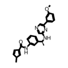 COc1cccc(-c2cncc(N[C@@H](C)c3cccc(NC(=O)C4=CC(C)C=C4)c3)n2)c1